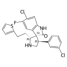 O=C1Nc2cc(Cl)c(F)cc2[C@]12[C@@H](c1cccc(Cl)c1)CN[C@@H]2CCc1cccs1